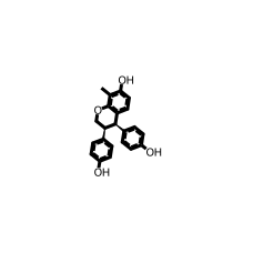 Cc1c(O)ccc2c1OC[C@H](c1ccc(O)cc1)[C@@H]2c1ccc(O)cc1